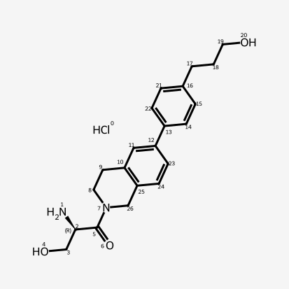 Cl.N[C@H](CO)C(=O)N1CCc2cc(-c3ccc(CCCO)cc3)ccc2C1